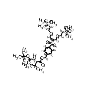 CC(C)[C@H](NC(=O)OC(C)(C)C)C(=O)OCc1ccc(S(=O)(=O)N(COCC[Si](C)(C)C)COCC[Si](C)(C)C)cc1